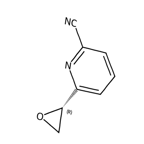 N#Cc1cccc([C@@H]2CO2)n1